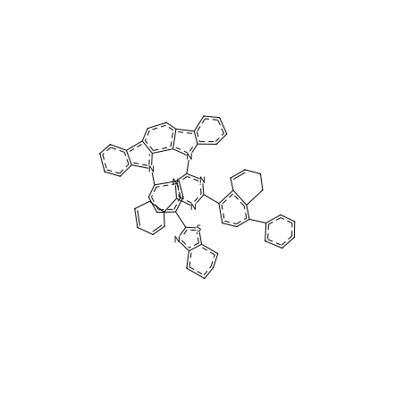 C1=CCC(c2nc(-c3ccc(-c4ccccc4)c4c3C=CCC4)nc(-n3c4ccccc4c4ccc5c6ccccc6n(-c6ccc(-c7nc8ccccc8s7)cc6)c5c43)n2)C=C1